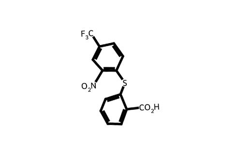 O=C(O)c1ccccc1Sc1ccc(C(F)(F)F)cc1[N+](=O)[O-]